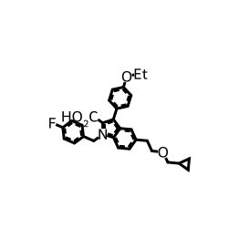 CCOc1ccc(-c2c(C(=O)O)n(Cc3ccc(F)cc3)c3ccc(CCOCC4CC4)cc23)cc1